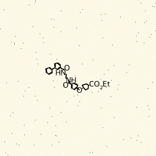 CCOC(=O)[C@H]1CC[C@@H](Oc2ccc(C(=O)NCCNC(=O)c3cccc(-c4ccccc4)c3)cc2)CC1